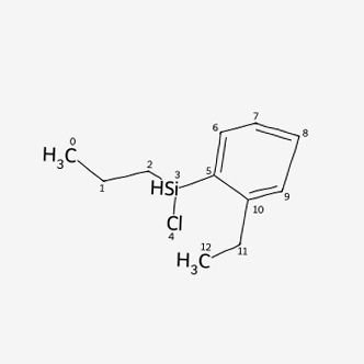 CCC[SiH](Cl)c1ccccc1CC